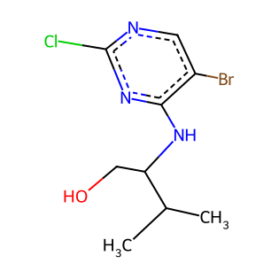 CC(C)C(CO)Nc1nc(Cl)ncc1Br